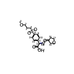 COCCCS(=O)(=O)c1ccc(/C(=N\O[C@@H]2CCOC2)C(=O)O)cc1